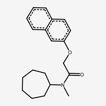 CN(C(=O)COc1ccc2ccccc2c1)C1CCCCCC1